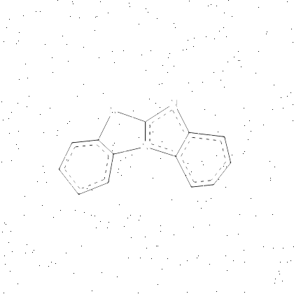 [c]1ccc2c(c1)nc1n2-c2ccccc2[N]1